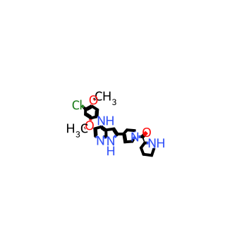 COc1cc(Nc2ccnc3[nH]c(C4=CCN(C(=O)[C@@H]5CCCCN5)CC4)cc23)c(OC)cc1Cl